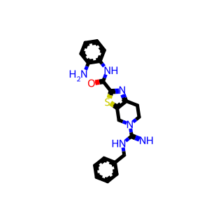 N=C(NCc1ccccc1)N1CCc2nc(C(=O)Nc3ccccc3N)sc2C1